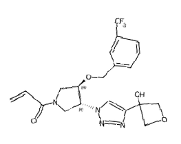 C=CC(=O)N1C[C@@H](n2cc(C3(O)COC3)nn2)[C@H](OCc2cccc(C(F)(F)F)c2)C1